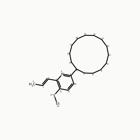 C/C=C/c1nc(C2CCCCCCCCCCCCC2)ccc1SCC